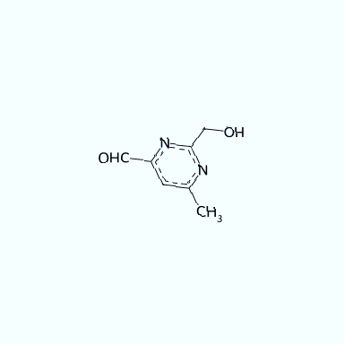 Cc1cc(C=O)nc(CO)n1